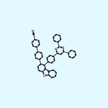 N#Cc1ccc(-c2ccc(-c3ccc4oc5ccccc5c4c3-c3ccc(-c4cc(-c5ccccc5)nc(-c5ccccc5)n4)cc3)cc2)cc1